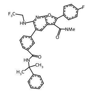 CNC(=O)c1c(-c2ccc(F)cc2)oc2nc(NCC(F)(F)F)c(-c3cccc(C(=O)NC(C)(C)c4ccccc4)c3)cc12